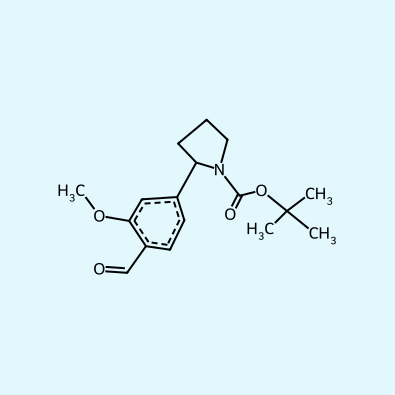 COc1cc(C2CCCN2C(=O)OC(C)(C)C)ccc1C=O